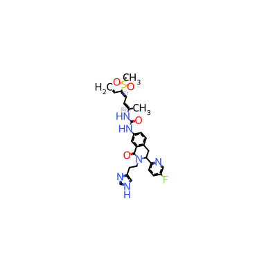 C=C/C(=C\C=C(/C)NC(=O)Nc1ccc2c(c1)C(=O)N(CCc1c[nH]cn1)C(c1ccc(F)cn1)C2)S(C)(=O)=O